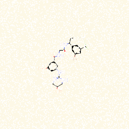 O=C(O)CC(NC(=O)CNC(=O)c1cc(O)cc(NC2=NCC(O)CN2)c1)c1cc(Br)cc(C(F)F)c1